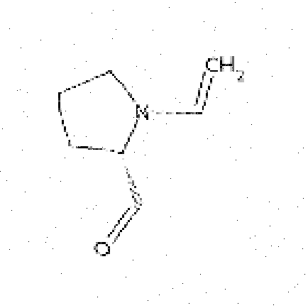 C=CN1CCC[C@H]1C=O